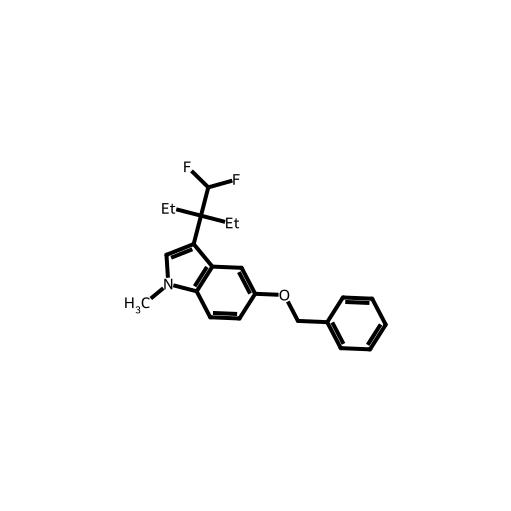 CCC(CC)(c1cn(C)c2ccc(OCc3ccccc3)cc12)C(F)F